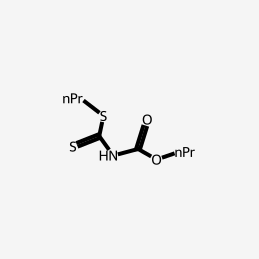 CCCOC(=O)NC(=S)SCCC